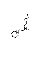 CCOCCN(C)CCN1CCCCC1